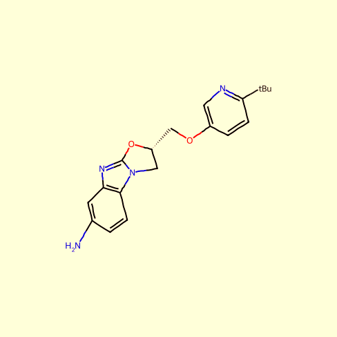 CC(C)(C)c1ccc(OC[C@@H]2Cn3c(nc4cc(N)ccc43)O2)cn1